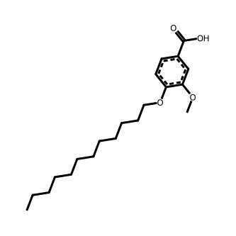 CCCCCCCCCCCCOc1ccc(C(=O)O)cc1OC